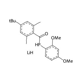 COc1ccc(PC(=O)c2c(C)cc(C(C)(C)C)cc2C)c(OC)c1.[LiH]